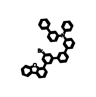 Brc1cc(-c2cccc(-c3cccc(N(c4ccccc4)c4cccc(-c5ccccc5)c4)c3)c2)cc(-c2cccc3c2oc2ccccc23)c1